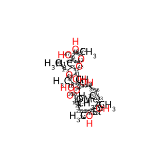 C/C=C/[C@H]1O[C@@](O)([C@@H](C)[C@H](O)[C@H](C)[C@H]2OC(=O)/C(OC)=C/C(C)=C/[C@@H](C)[C@@H](O)[C@@H](CC)[C@@H](O)[C@H](C)C/C(C)=C/C=C/[C@@H]2O)C[C@@H](O[C@@H]2C[C@H](O)[C@@H](O)[C@H](C)O2)[C@@H]1C